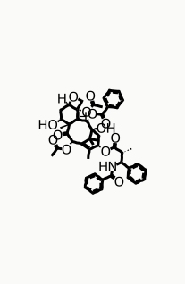 CC(=O)O[C@H]1C(=O)[C@@]2(C)[C@H]([C@H](OC(=O)c3ccccc3)[C@]3(O)C[C@H](OC(=O)[C@H](C)C(NC(=O)c4ccccc4)c4ccccc4)C(C)=C1C3(C)C)[C@]1(OC(C)=O)CO[C@@H]1C[C@@H]2O